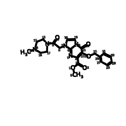 COC(=O)c1nc2n(CC(=O)N3CCN(C)CC3)ccn2c(=O)c1OCc1ccccc1